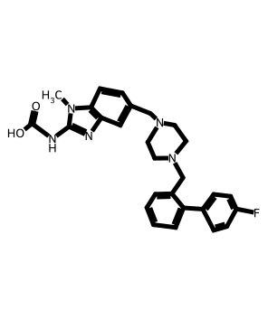 Cn1c(NC(=O)O)nc2cc(CN3CCN(Cc4ccccc4-c4ccc(F)cc4)CC3)ccc21